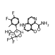 Cc1c([C@H]2[C@H](c3cc(=O)c4c(C(N)=O)nccc4[nH]3)O[C@@](C)(C(F)(F)F)[C@H]2O)ccc(F)c1F